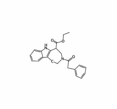 CCOC(=O)C1CN(C(=O)Cc2ccccc2)CCc2c1[nH]c1ccccc21